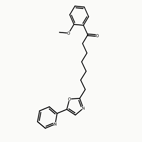 COc1ccccc1C(=O)CCCCCCc1ncc(-c2ccccn2)o1